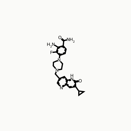 NC(=O)c1ccc(N2CCN(Cc3cnc4cc(C5CC5)c(=O)[nH]c4c3)CC2)c(F)c1N